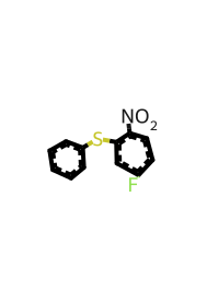 O=[N+]([O-])c1ccc(F)cc1Sc1ccccc1